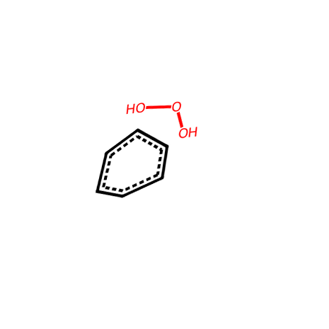 OOO.c1ccccc1